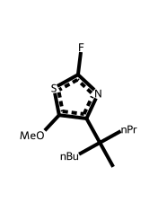 CCCCC(C)(CCC)c1nc(F)sc1OC